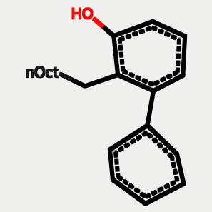 CCCCCCCCCc1c(O)cccc1-c1ccccc1